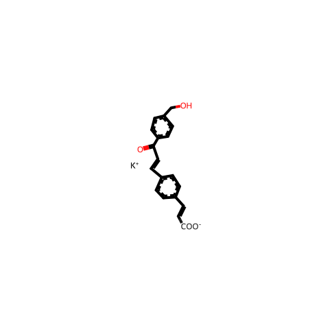 O=C([O-])/C=C/c1ccc(/C=C/C(=O)c2ccc(CO)cc2)cc1.[K+]